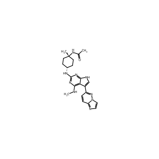 CNc1nc(N[C@H]2CC[C@@](C)(NC(C)=O)CC2)nc2[nH]cc(-c3ccc4nccn4n3)c12